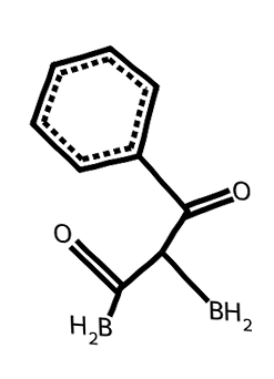 BC(=O)C(B)C(=O)c1ccccc1